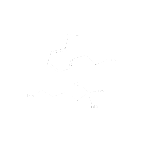 CCCCCCCCCCCCCC[PH](CCCC)(CCCC)CCCC.CCCCCCCCCCCCc1ccccc1S(=O)(=O)O